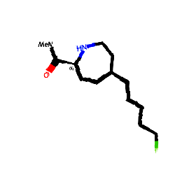 CNC(=O)[C@@H]1CCC(CCCCCF)CCN1